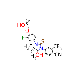 CC1(C)C(O)N(c2ccc(C#N)c(C(F)(F)F)c2)C(=S)N1c1ccc(OCC2(O)CC2)c(F)c1